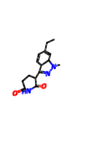 CCC1=CC2C(C=C1)C(C1CCC(=O)NC1=O)=NN2C